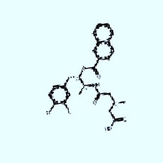 C[C@@H](CC(=O)O)CC(=O)N[C@@H](C)[C@H](Cc1ccc(Cl)c(Cl)c1)OC(=O)c1ccc2ccccc2c1